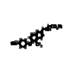 CCOC(=O)CNCc1ccc2c(C(F)(F)F)c(O[C@H]3CC[C@H](C(C)(C)C)CC3)ccc2c1